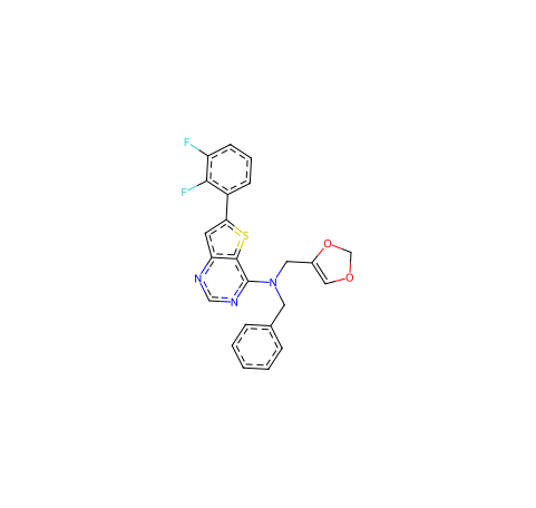 Fc1cccc(-c2cc3ncnc(N(CC4=COCO4)Cc4ccccc4)c3s2)c1F